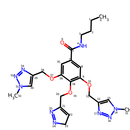 CCCCNC(=O)c1cc(OCc2cn(C)nn2)c(OCC2=CCN=N2)c(OCc2cn(C)nn2)c1